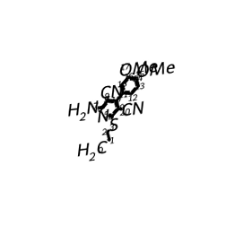 C=CCSc1nc(N)c(C#N)c(-c2ccc(OC)c(OC)c2)c1C#N